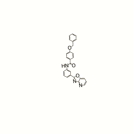 O=C(Nc1cccc(-c2nc3ncccc3o2)c1)c1ccc(OCc2ccccc2)cc1